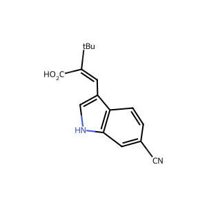 CC(C)(C)C(=Cc1c[nH]c2cc(C#N)ccc12)C(=O)O